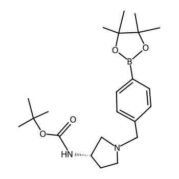 CC(C)(C)OC(=O)N[C@H]1CCN(Cc2ccc(B3OC(C)(C)C(C)(C)O3)cc2)C1